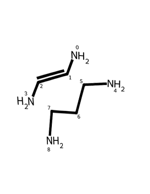 N/C=C/N.NCCCN